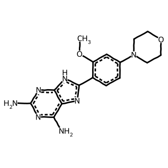 COc1cc(N2CCOCC2)ccc1-c1nc2c(N)nc(N)nc2[nH]1